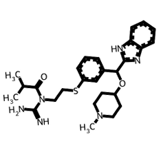 CC(C)C(=O)N(CCSc1cccc(C(OC2CCN(C)CC2)c2nc3ccccc3[nH]2)c1)C(=N)N